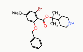 COc1cc(Br)c(C(=O)OC(C)(C)C2CCNCC2)c(OCc2ccccc2)c1